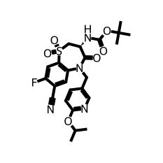 CC(C)Oc1ccc(CN2C(=O)[C@@H](NC(=O)OC(C)(C)C)CS(=O)(=O)c3cc(F)c(C#N)cc32)cn1